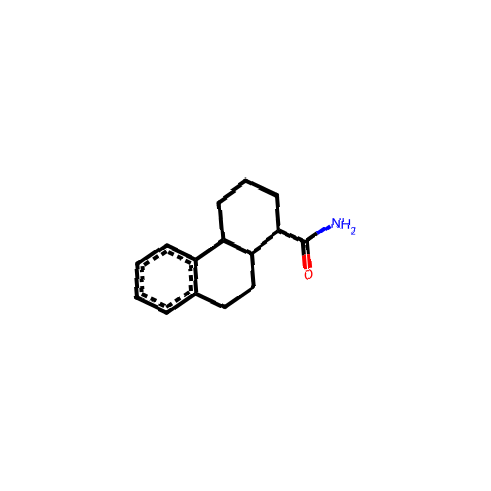 NC(=O)C1CCCC2c3ccccc3CCC12